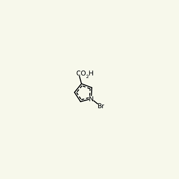 O=C(O)c1ccn(Br)c1